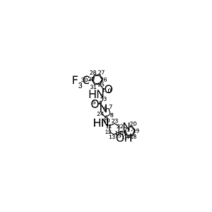 O=C(NCC(=O)N1CC[C@H](NC2CCC(O)(c3cc[c]cn3)CC2)C1)c1cccc(C(F)(F)F)c1